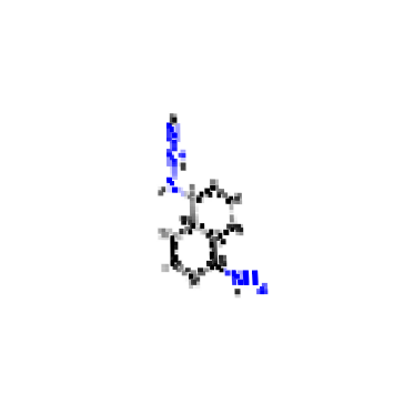 [N-]=[N+]=Nc1cccc2c(N)cccc12